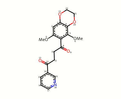 COc1cc2c(c(OC)c1C(=O)CCC(=O)c1cccnc1)OCCO2